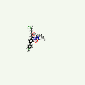 CN(C)C(=O)n1cc(CC(=O)CCCCCl)c2ccc(-c3ccc(F)cc3)cc21